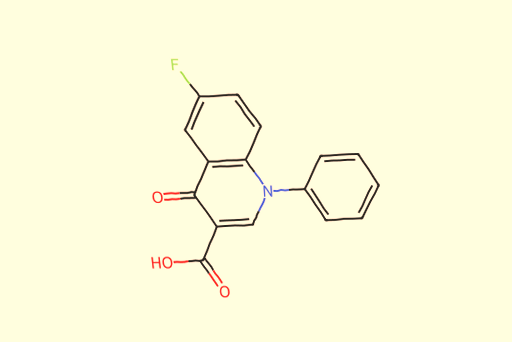 O=C(O)c1cn(-c2ccccc2)c2ccc(F)cc2c1=O